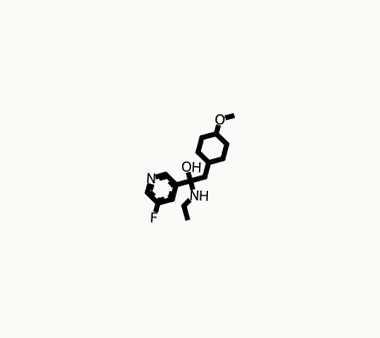 CCNC(O)(CC1CCC(OC)CC1)c1cncc(F)c1